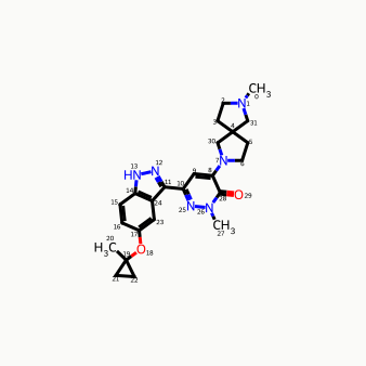 CN1CCC2(CCN(c3cc(-c4n[nH]c5ccc(OC6(C)CC6)cc45)nn(C)c3=O)C2)C1